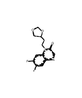 O=c1cnc2cc(F)c(F)cc2n1CCC1COCO1